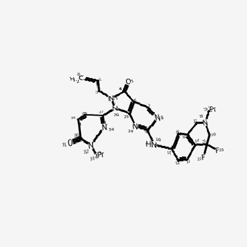 C=CCn1c(=O)c2cnc(Nc3ccc4c(c3)CN(C(C)C)CC4(F)F)nc2n1-c1ccc(=O)n(C(C)C)n1